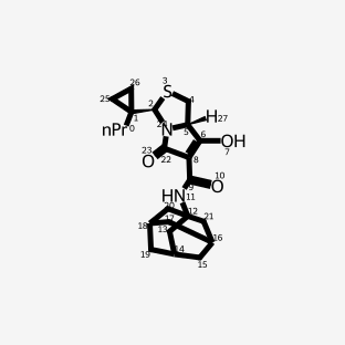 CCCC1([C@H]2SC[C@@H]3C(O)=C(C(=O)NC45CC6CC(CC(C6)C4)C5)C(=O)N32)CC1